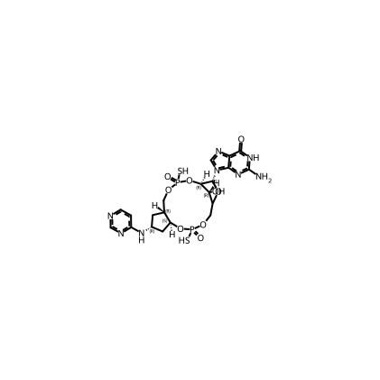 Nc1nc2c(ncn2[C@@H]2OC3COP(=O)(S)O[C@H]4C[C@H](Nc5ccncn5)C[C@@H]4COP(=O)(S)O[C@@H]2[C@@H]3O)c(=O)[nH]1